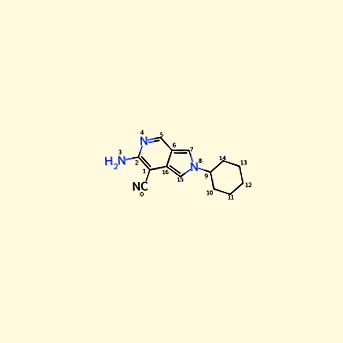 N#Cc1c(N)ncc2cn(C3CCCCC3)cc12